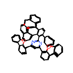 c1ccc(-c2ccc(-c3cccc4ccccc34)c(-c3cccc4ccccc34)c2-c2nc(-c3cccc4c3oc3ccccc34)cc(-c3cccc4c3oc3ccccc34)n2)cc1